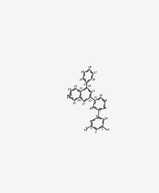 Cc1cc(I)cc(-c2cccc(-c3cc(-c4ccccc4)c4ccncc4c3)c2)c1